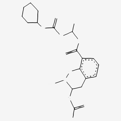 CC(=O)NC1Cc2cccc(C(=O)OC(C)OC(=O)OC3CCCCC3)c2OB1O